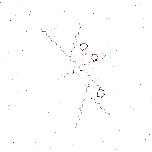 CCCCCCCCCCC[C@H](CC(=O)N[C@@H](CO[C@@H]1O[C@H](COC(=O)OC(C)(C)C(Cl)(Cl)Cl)[C@@H](OP(=O)(Oc2ccccc2)Oc2ccccc2)[C@H](OC(=O)C[C@@H](CCCCCCCCCCC)OC(=O)CCCCCCCC)[C@H]1NC(=O)OCC(Cl)(Cl)Cl)C(=O)OCc1ccccc1)OC(=O)CCCCCCCC